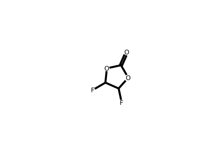 O=C1OC(F)C(F)O1